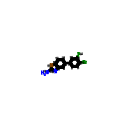 Nc1nc2[c]c(-c3ccc(Br)c(F)c3)ccc2s1